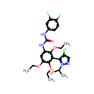 CCOc1cc(NC(=O)Nc2ccc(F)c(F)c2)c(OCC)c(-c2c(Cl)cnn2C(C)C)c1OCC